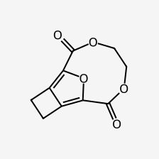 O=C1OCCOC(=O)c2oc1c1c2CC1